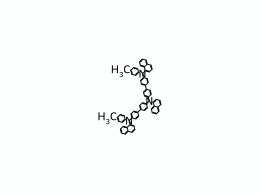 Cc1ccc(N(c2ccc(-c3ccc(N(c4ccc(-c5ccc(N(c6ccc(C)cc6)c6cccc7ccccc67)cc5)cc4)c4cccc5ccccc45)cc3)cc2)c2cccc3ccccc23)cc1